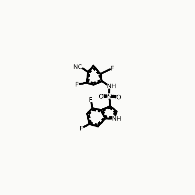 N#Cc1cc(F)c(NS(=O)(=O)c2c[nH]c3cc(F)cc(F)c23)cc1F